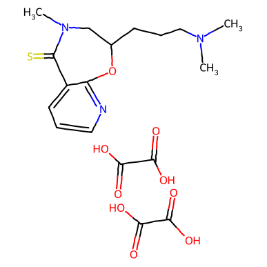 CN(C)CCCC1CN(C)C(=S)c2cccnc2O1.O=C(O)C(=O)O.O=C(O)C(=O)O